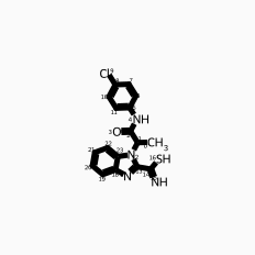 CC(C(=O)Nc1ccc(Cl)cc1)n1c(C(=N)S)nc2ccccc21